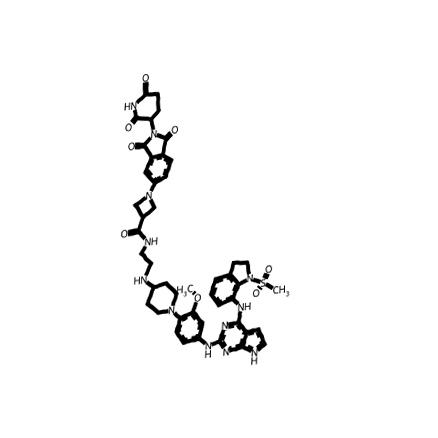 COc1cc(Nc2nc(Nc3cccc4c3N(S(C)(=O)=O)CC4)c3cc[nH]c3n2)ccc1N1CCC(NCCNC(=O)C2CN(c3ccc4c(c3)C(=O)N(C3CCC(=O)NC3=O)C4=O)C2)CC1